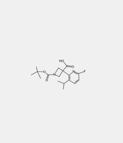 CC(C)c1ccc(F)nc1C1(C(=O)O)CN(C(=O)OC(C)(C)C)C1